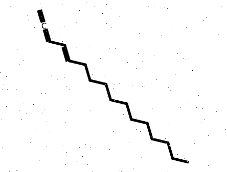 [CH]=C=CC=CCCCCCCCCCCC